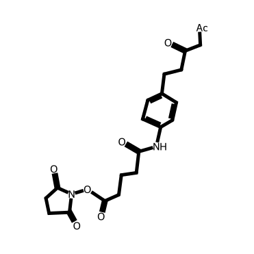 CC(=O)CC(=O)CCc1ccc(NC(=O)CCCC(=O)ON2C(=O)CCC2=O)cc1